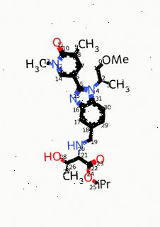 COC[C@@H](C)n1c(-c2cc(C)c(=O)n(C)c2)nc2cc(CN[C@H](C(=O)OC(C)C)[C@@H](C)O)ccc21